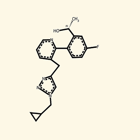 C[C@@H](O)c1cc(F)ccc1-c1ncccc1Cc1cn(CC2CC2)nn1